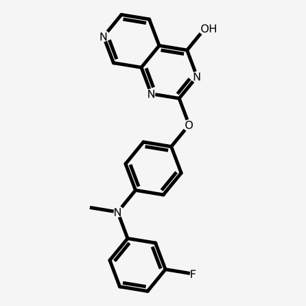 CN(c1ccc(Oc2nc(O)c3ccncc3n2)cc1)c1cccc(F)c1